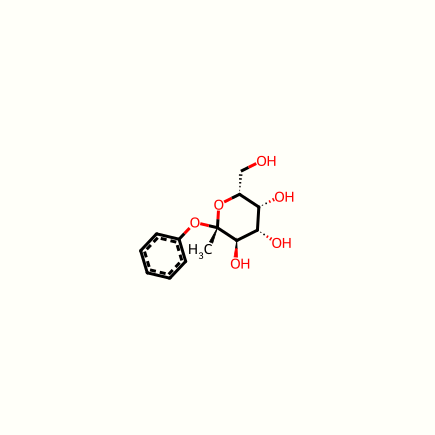 C[C@@]1(Oc2ccccc2)O[C@H](CO)[C@H](O)[C@H](O)[C@H]1O